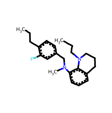 CCCc1ccc(CN(C)c2cccc3c2N(CCC)CCC3)cc1F